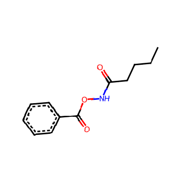 CCCCC(=O)NOC(=O)c1ccccc1